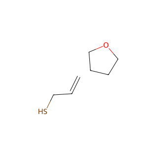 C1CCOC1.C=CCS